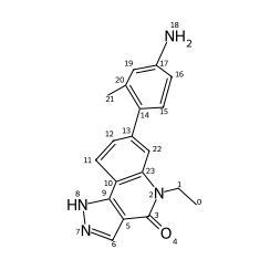 CCn1c(=O)c2cn[nH]c2c2ccc(-c3ccc(N)cc3C)cc21